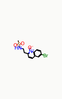 CS(=O)(=O)NCCc1ccc2cc(Br)ccc2[n+]1[O-]